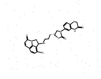 CCc1ccc2ccc(=O)n3c2c1C(NCCC[C@@H]1CN(c2ccc4c(c2)NC(=O)CS4)C(=O)O1)C3